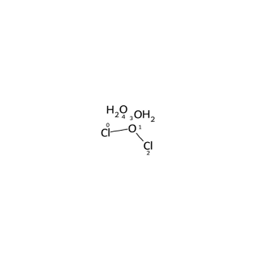 ClOCl.O.O